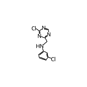 Clc1cccc(NCc2ncnc(Cl)n2)c1